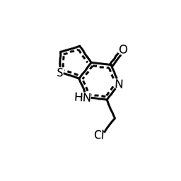 O=c1nc(CCl)[nH]c2sccc12